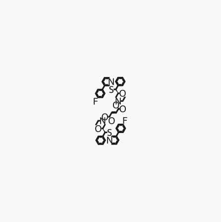 O=C(/C=C/C(=O)ON1CCO[C@H](C(Sc2ncccc2-c2ccc(F)cc2)c2ccccc2)C1)ON1CCO[C@H](C(Sc2ncccc2-c2ccc(F)cc2)c2ccccc2)C1